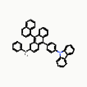 c1ccc([SiH2]c2ccc3c(-c4ccc(-n5c6ccccc6c6ccccc65)cc4)c4ccccc4c(-c4cccc5ccccc45)c3c2)cc1